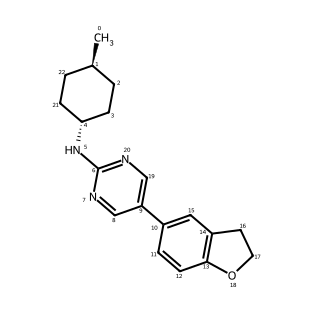 C[C@H]1CC[C@H](Nc2ncc(-c3ccc4c(c3)CCO4)cn2)CC1